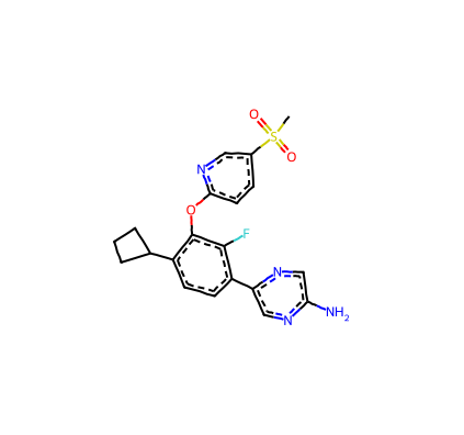 CS(=O)(=O)c1ccc(Oc2c(C3CCC3)ccc(-c3cnc(N)cn3)c2F)nc1